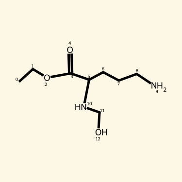 CCOC(=O)C(CCCN)NCO